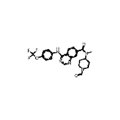 CN(C(=O)c1ccc2c(Nc3ccc(OC(F)(F)F)cc3)ncnc2c1)C1CCN(C=O)CC1